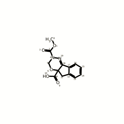 COC(=O)N1COC2(C(=O)O)Cc3ccccc3C2=N1